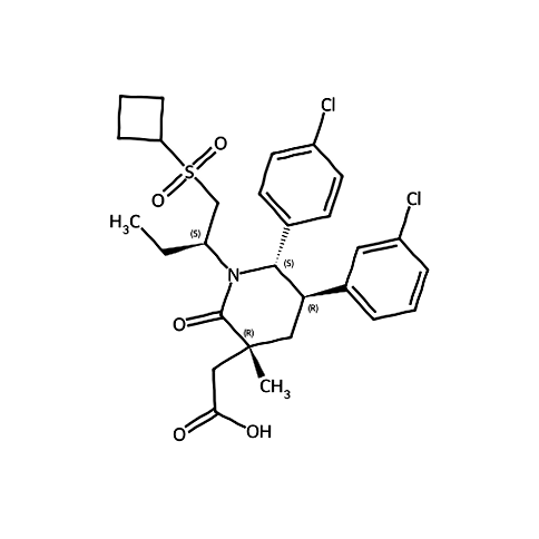 CC[C@@H](CS(=O)(=O)C1CCC1)N1C(=O)[C@@](C)(CC(=O)O)C[C@H](c2cccc(Cl)c2)[C@H]1c1ccc(Cl)cc1